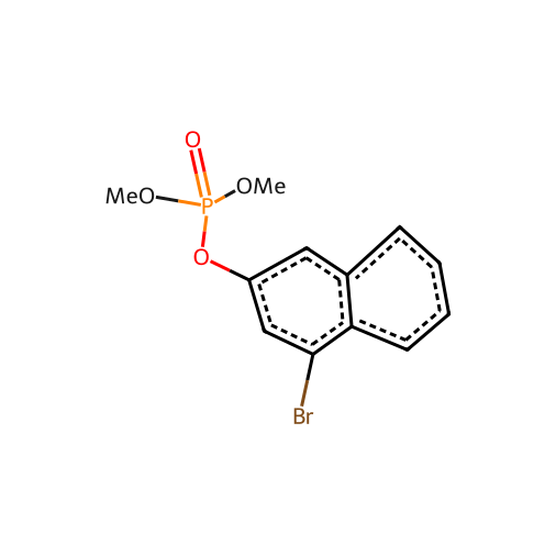 COP(=O)(OC)Oc1cc(Br)c2ccccc2c1